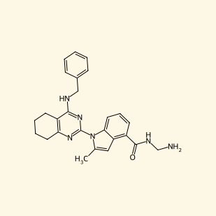 Cc1cc2c(C(=O)NCN)cccc2n1-c1nc2c(c(NCc3ccccc3)n1)CCCC2